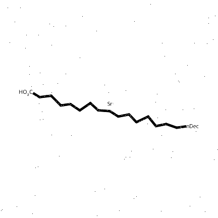 CCCCCCCCCCCCCCCCCCCCCCCCCC(=O)O.[Sr]